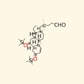 C[C@H](CCC=O)[C@H]1CC[C@H]2[C@@H]3C[C@H](O[Si](C)(C)C)[C@@H]4C[C@H](O[Si](C)(C)C)C=C[C@]4(C)[C@H]3CC[C@]12C